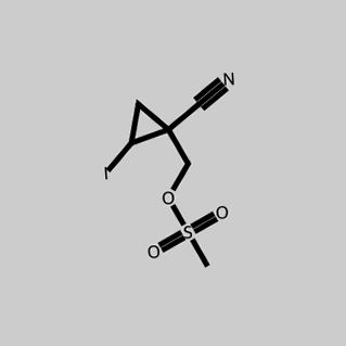 CS(=O)(=O)OCC1(C#N)CC1I